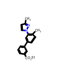 CCOC(=O)c1cccc(-c2ccc(C)c(-n3ccc(C)n3)c2)c1